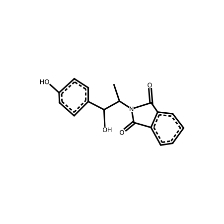 CC(C(O)c1ccc(O)cc1)N1C(=O)c2ccccc2C1=O